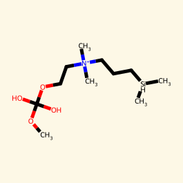 COC(O)(O)OCC[N+](C)(C)CCC[SiH](C)C